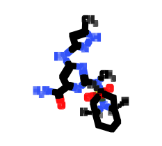 CCS(=O)(=O)N1[C@@H]2CCC[C@H]1CC(N(C)c1nc(Nc3cc(C)[nH]n3)cc(C(N)=O)n1)C2